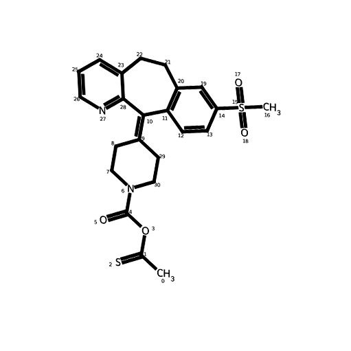 CC(=S)OC(=O)N1CCC(=C2c3ccc(S(C)(=O)=O)cc3CCc3cccnc32)CC1